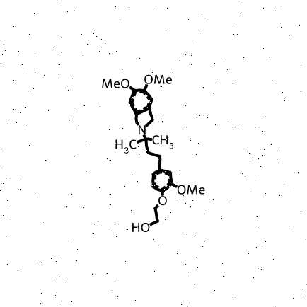 COc1cc2c(cc1OC)CN(C(C)(C)CCc1ccc(OCCO)c(OC)c1)C2